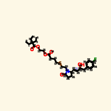 CCC(CC)(CC)C(=O)OCCOC(=O)CCCSCCN1C(=O)CC[C@@H]1/C=C/[C@@H](O)Cc1ccc(F)cc1